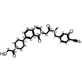 CN(Cc1ccc(C#N)c(Cl)c1)C(=O)Cn1cnc2ccc(C3CCN(C(=O)CO)CC3)cc2c1=O